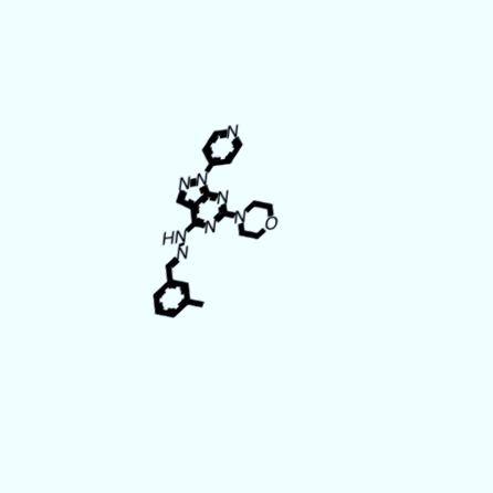 Cc1cccc(C=NNc2nc(N3CCOCC3)nc3c2cnn3-c2ccncc2)c1